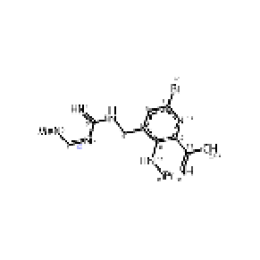 CN/C=N\C(=N)NCc1cc(Br)nc(C(C)=N)c1NC(C)C